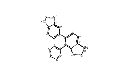 c1ccc(-c2c(-c3ccc4[nH]cnc4c3)ccc3[nH]cnc23)cc1